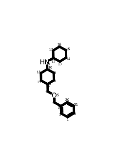 c1ccc(COCC2CCC(NC3CCCCC3)CC2)cc1